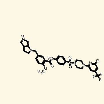 COc1ccc(CN2CCC3CNCC32)cc1C(=O)Nc1ccc(S(=O)(=O)N2CCN(c3cc(C(F)(F)F)cc(Cl)n3)CC2)cc1